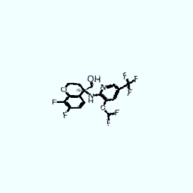 OC[C@]1(Nc2ncc(C(F)(F)F)cc2OC(F)F)CCOc2c1ccc(F)c2F